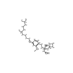 COc1cc(OCCCCC(C)CCCC(C)C)ccc1CC[C@@](N)(CO)CC1CCC1